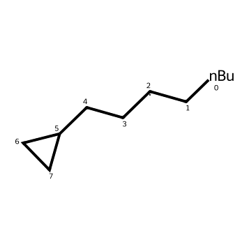 CCCCC[CH]CCC1CC1